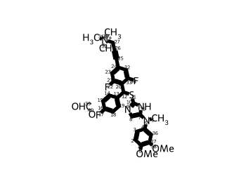 COc1ccc(N(C)c2cnc(SC(c3ccc(F)cc3)c3c(F)cc(C#CC[N+](C)(C)C)cc3F)[nH]2)cc1OC.O=C[O-]